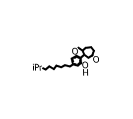 CC(C)CCCCCCCc1cc(O)c2c(c1)OCC1CCCC(=O)CC21